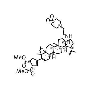 C=C(C)[C@@H]1CC[C@]2(NCCN3CCS(=O)(=O)CC3)CC[C@]3(C)[C@H](CC[C@@H]4[C@@]5(C)CC=C(C6=C[C@@H](C(=O)OC)[C@H](C(=O)OC)C6)C(C)(C)[C@@H]5CC[C@]43C)[C@@H]12